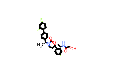 C[C@@H](c1ccc(-c2ccc(F)cc2F)cc1)N1CC[C@](CCNC(=O)CO)(c2ccc(F)cc2)OC1=O